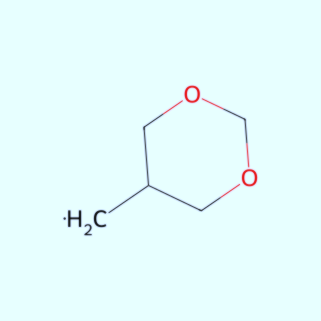 [CH2]C1COCOC1